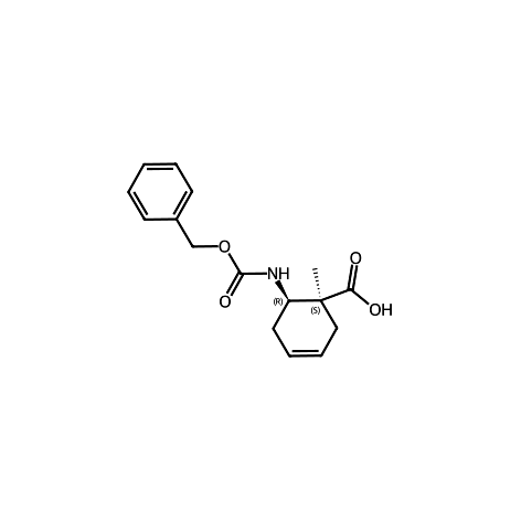 C[C@]1(C(=O)O)CC=CC[C@H]1NC(=O)OCc1ccccc1